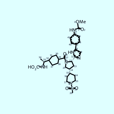 COC(=O)Nc1ccc(-c2cnc([C@@H]3C[C@H](C4CCN(S(C)(=O)=O)CC4)CN3C(=O)C3CCC([C@H](C)NC(=O)O)CC3)[nH]2)cc1